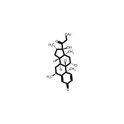 CC(=O)OCC(=O)[C@@]1(O)[C@@H](C)C[C@H]2[C@@H]3C[C@H](C)C4=CC(=O)C=C[C@]4(C)[C@@]3(Cl)[C@@H](Cl)C[C@@]21C